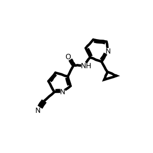 N#Cc1ccc(C(=O)Nc2cccnc2C2CC2)cn1